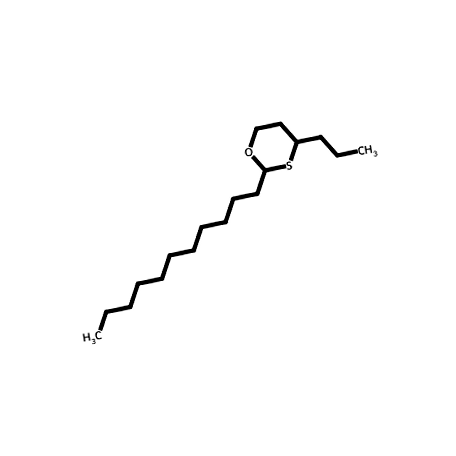 CCCCCCCCCCCC1OCCC(CCC)S1